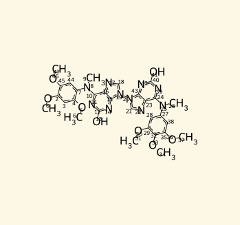 COc1cc(OC)c(N(C)c2nc(O)nc3c2ncn3-n2cnc3c(N(C)c4cc(OC)c(OC)c(OC)c4)nc(O)nc32)cc1OC